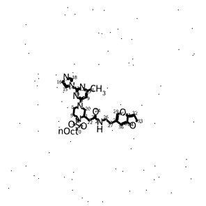 CCCCCCCCS(=O)(=O)N1CCN(c2cc(C)nc(-n3ccnc3)n2)CC1CC(=O)NCCC1=COC2=CCOC2=C1